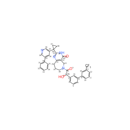 O=C([C@H](O)c1cccc(-c2cccc(C(F)(F)F)c2)c1)N1CCCc2nc(C3(c4cncc(-c5ccccc5)c4)CC3)[nH]c(=O)c2C1